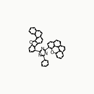 c1ccc(-c2nc(-c3ccc4ccc5ccc6cccc7c6c5c4c3O7)nc(-c3cccc4oc5c(ccc6ccc7ccccc7c65)c34)n2)cc1